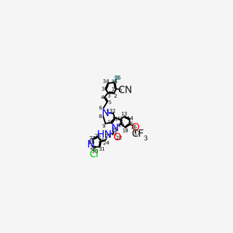 N#Cc1cc(C=CCN2CCc3c(c4ccc(OC(F)(F)F)cc4n3C(=O)NCc3ccnc(Cl)c3)C2)ccc1F